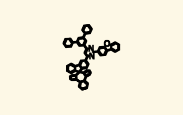 c1ccc(-c2cc(-c3ccccc3)cc(-c3cc(-c4ccc5c(c4)-c4ccccc4C54c5ccccc5-c5ccccc5-c5ccccc54)nc(-c4ccc5c(c4)oc4ccccc45)n3)c2)cc1